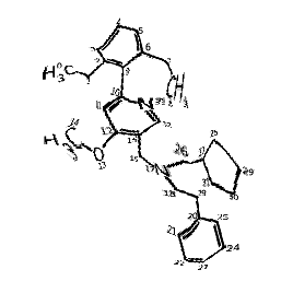 CCc1cccc(CC)c1-c1cc(OC)c(CN(CCc2ccccc2)CC2CCCC2)cn1